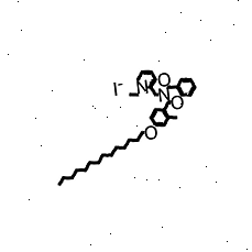 CCCCCCCCCCCCCCOc1ccc(C(=O)N(Cc2cccc[n+]2CC)C(=O)c2ccccc2)c(C)c1.[I-]